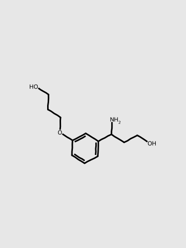 NC(CCO)c1cccc(OCCCO)c1